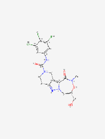 CN1O[C@H](CO)Cn2nc3c(c2C1=O)CN(C(=O)Nc1cc(F)c(F)c(Cl)c1)CC3